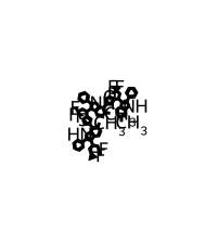 Cc1ccc2c(C(CC(F)(F)F)c3cc(-c4c(C)ccc5c(C(CC(F)(F)F)c6cc(-c7c(C)ccc8c(C(CC9CC9)CC(F)(F)F)c(-c9ccccc9)[nH]c78)cs6)c(-c6ccccc6)[nH]c45)co3)c(-c3ccccc3)[nH]c2c1